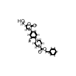 O=C(OCc1ccccc1)N1CCN(c2ccc(N3C[C@H](CO)OC3=O)cc2F)CC1